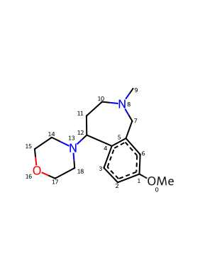 COc1ccc2c(c1)CN(C)CCC2N1CCOCC1